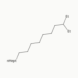 [CH2]CCCCCCCCCCCCCC(CC)CC